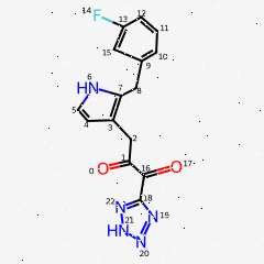 O=C(Cc1cc[nH]c1Cc1cccc(F)c1)C(=O)c1nn[nH]n1